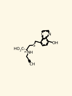 C#CCN[C@@H](CSCc1ccc(O)c2ncccc12)C(=O)O